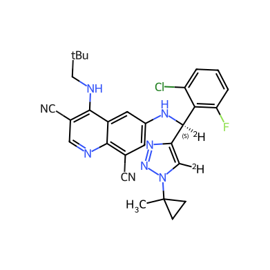 [2H]c1c([C@@]([2H])(Nc2cc(C#N)c3ncc(C#N)c(NCC(C)(C)C)c3c2)c2c(F)cccc2Cl)nnn1C1(C)CC1